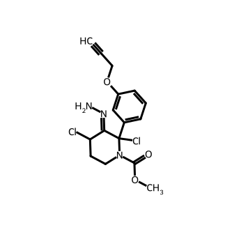 C#CCOc1cccc(C2(Cl)C(=NN)C(Cl)CCN2C(=O)OC)c1